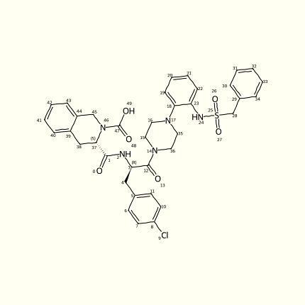 O=C(N[C@H](Cc1ccc(Cl)cc1)C(=O)N1CCN(c2ccccc2NS(=O)(=O)Cc2ccccc2)CC1)[C@@H]1Cc2ccccc2CN1C(=O)O